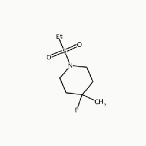 CCS(=O)(=O)N1CCC(C)(F)CC1